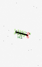 Cl.O=C(OF)C(F)(F)C(F)(F)C(F)(F)C(F)(F)C(F)F